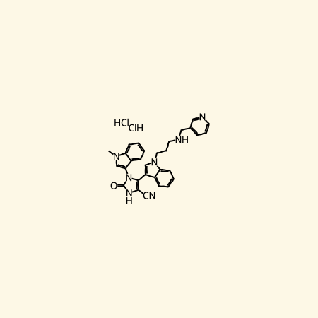 Cl.Cl.Cn1cc(-n2c(-c3cn(CCCNCc4cccnc4)c4ccccc34)c(C#N)[nH]c2=O)c2ccccc21